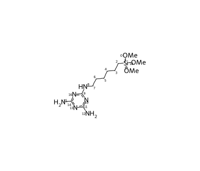 CO[Si](CCCCCCNc1nc(N)nc(N)n1)(OC)OC